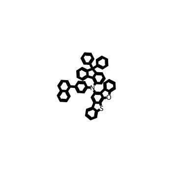 c1ccc(C2(c3ccccc3)c3ccccc3-c3c(N(c4ccc(-c5cccc6ccccc56)cc4)c4cc5c6ccccc6sc5c5oc6ccccc6c45)cccc32)cc1